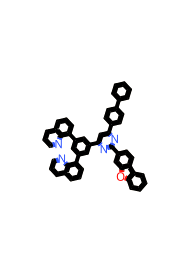 c1ccc(-c2ccc(-c3cc(-c4cc(-c5cccc6cccnc56)cc(-c5cccc6cccnc56)c4)nc(-c4ccc5c(c4)oc4ccccc45)n3)cc2)cc1